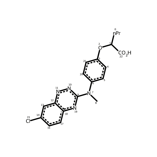 CCCC(Oc1ccc(N(C)c2nnc3cc(Cl)ccc3n2)cc1)C(=O)O